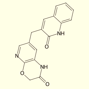 O=C1COc2ncc(Cc3cc4ccccc4[nH]c3=O)cc2N1